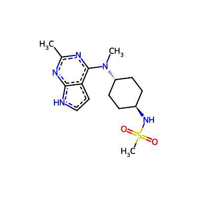 Cc1nc(N(C)[C@H]2CC[C@H](NS(C)(=O)=O)CC2)c2cc[nH]c2n1